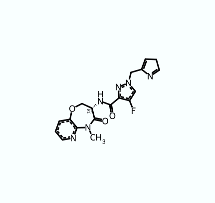 CN1C(=O)[C@@H](NC(=O)c2nn(CC3=CCC=N3)cc2F)COc2cccnc21